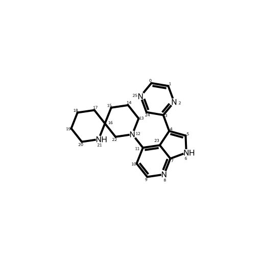 c1cnc(-c2c[nH]c3nccc(N4CCCC5(CCCCN5)C4)c23)cn1